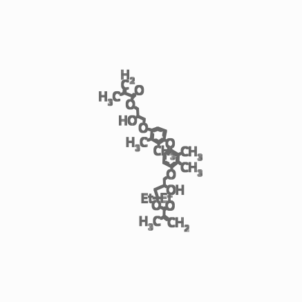 C=C(C)C(=O)OCC(O)COc1ccc(Oc2ccc(OCC(O)CC(CC)(CC)OC(=O)C(=C)C)c(C)c2C)c(C)c1C